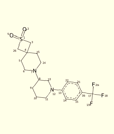 O=S1(=O)CC2(CCN(C3CCCN(c4ccc(C(F)(F)F)cc4)C3)CC2)C1